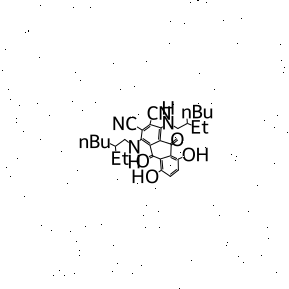 CCCCC(CC)CNc1c(C#N)c(C#N)c(NCC(CC)CCCC)c2c1C(=O)c1c(O)ccc(O)c1C2=O